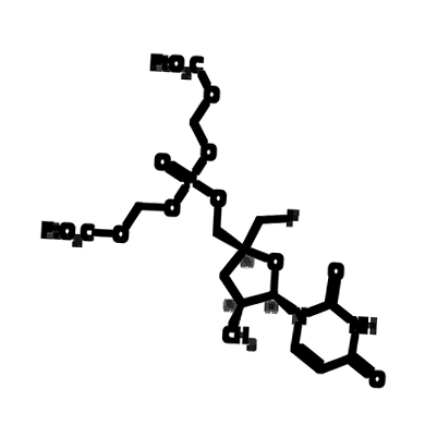 CCOC(=O)OCOP(=O)(OCOC(=O)OCC)OC[C@]1(CF)C[C@H](C)[C@H](n2ccc(=O)[nH]c2=O)O1